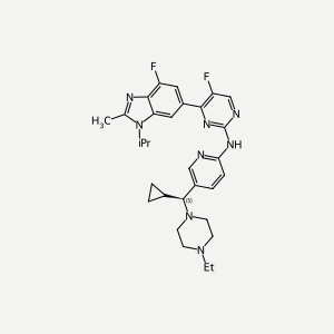 CCN1CCN([C@H](c2ccc(Nc3ncc(F)c(-c4cc(F)c5nc(C)n(C(C)C)c5c4)n3)nc2)C2CC2)CC1